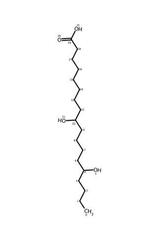 CCCCC(O)CCCCC(O)CCCCCCCC(=O)O